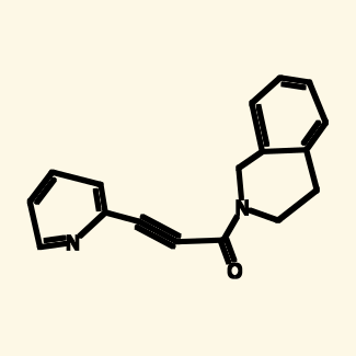 O=C(C#Cc1ccccn1)N1CCc2ccccc2C1